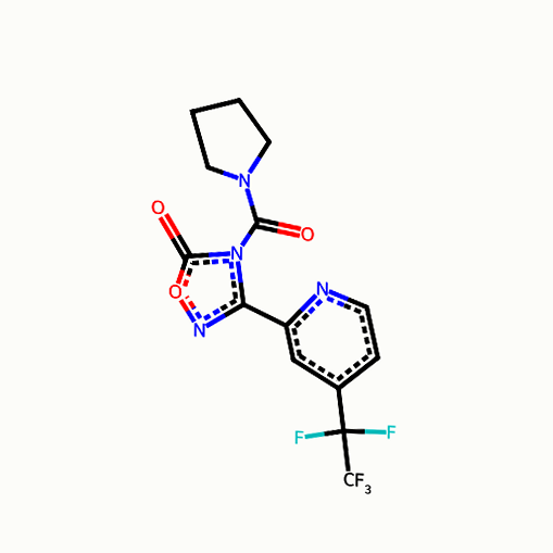 O=C(N1CCCC1)n1c(-c2cc(C(F)(F)C(F)(F)F)ccn2)noc1=O